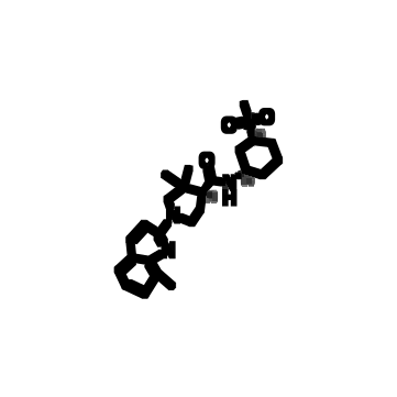 Cc1cccc2ccc(N3CC[C@H](C(=O)N[C@H]4CCC[C@H](S(C)(=O)=O)C4)C(C)(C)C3)nc12